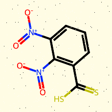 O=[N+]([O-])c1cccc(C(=S)S)c1[N+](=O)[O-]